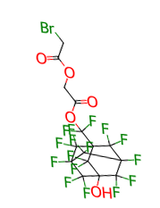 O=C(CBr)OCC(=O)OC(F)(F)C12C(F)(F)C3(O)C(F)(F)C(F)(C(F)(F)C(F)(C3(F)F)C1(F)F)C2(F)F